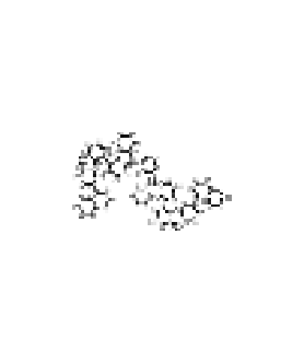 c1cc(-n2c3ccccc3c3c(-c4cccc5oc6ccc(-c7cccc8ccccc78)cc6c45)cccc32)cc(-n2c3ccccc3c3c(-c4cccc5oc6ccc(-c7cccc8ccccc78)cc6c45)cccc32)c1